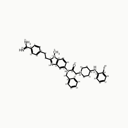 Cn1c(CCc2ccc(C(=N)N)cc2)nc2cc(N(Cc3ccccc3)C(=O)CN3CCC(Nc4ccccc4F)CC3)ccc21